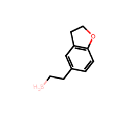 BCCc1ccc2c(c1)CCO2